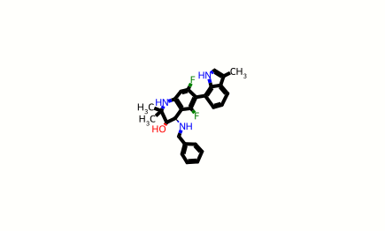 Cc1c[nH]c2c(-c3c(F)cc4c(c3F)[C@H](NCc3ccccc3)C(O)C(C)(C)N4)cccc12